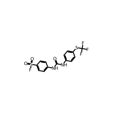 O=C(Nc1ccc(SC(F)(F)F)cc1)Nc1ccc(S(=O)(=O)F)cc1